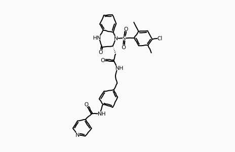 Cc1cc(S(=O)(=O)N2c3ccccc3NC(=O)[C@H]2CC(=O)NCCc2ccc(NC(=O)c3ccncc3)cc2)c(C)cc1Cl